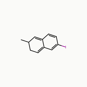 CC1C=c2ccc(I)cc2=CC1